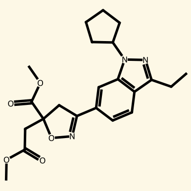 CCc1nn(C2CCCC2)c2cc(C3=NOC(CC(=O)OC)(C(=O)OC)C3)ccc12